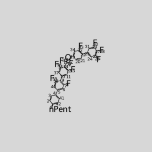 CCCCCc1ccc(-c2cc(F)c(-c3cc(F)c(C(F)(F)Oc4ccc(-c5cc(F)c(F)c(F)c5)c(F)c4)c(F)c3)c(F)c2)cc1